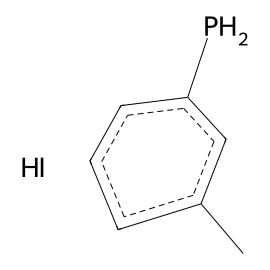 Cc1cccc(P)c1.I